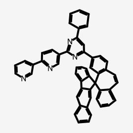 C1=Cc2ccc(-c3cc(-c4ccccc4)nc(-c4ccc(-c5cccnc5)nc4)n3)cc2C2(c3ccccc31)c1ccccc1-c1cc3ccccc3cc12